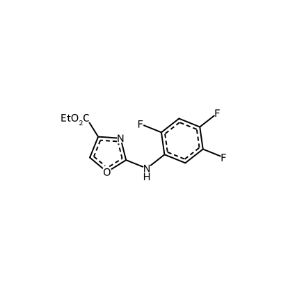 CCOC(=O)c1coc(Nc2cc(F)c(F)cc2F)n1